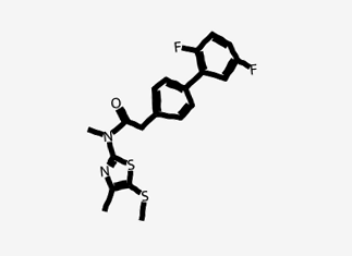 CSc1sc(N(C)C(=O)Cc2ccc(-c3cc(F)ccc3F)cc2)nc1C